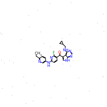 CCc1ccc(Nc2ccc(C(=O)c3c[nH]c4ncnc(NCC5CC5)c34)c(F)n2)cn1